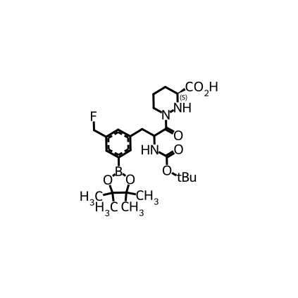 CC(C)(C)OC(=O)NC(Cc1cc(CF)cc(B2OC(C)(C)C(C)(C)O2)c1)C(=O)N1CCC[C@@H](C(=O)O)N1